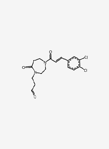 O=CCCN1CCN(C(=O)/C=C/c2ccc(Cl)c(Cl)c2)CCC1=O